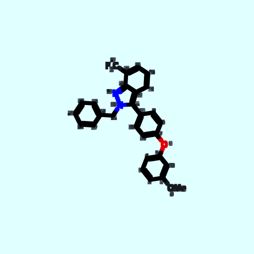 COc1cccc(Oc2ccc(-c3c4cccc(C(F)(F)F)c4nn3Cc3ccccc3)cc2)c1